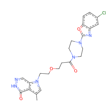 Cc1cn(CCOCCC(=O)N2CCN(c3nc4cc(Cl)ccc4o3)CC2)c2cn[nH]c(=O)c12